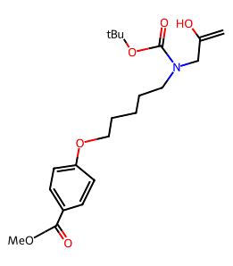 C=C(O)CN(CCCCCOc1ccc(C(=O)OC)cc1)C(=O)OC(C)(C)C